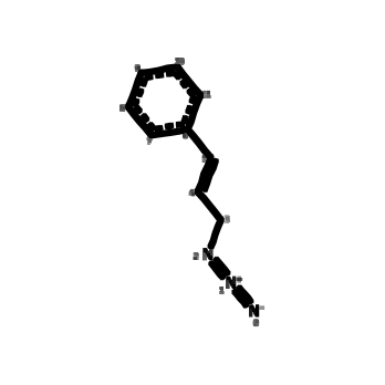 [N-]=[N+]=NCC=Cc1ccccc1